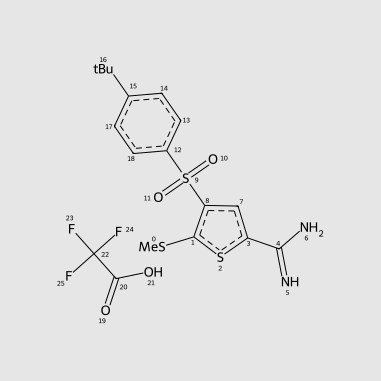 CSc1sc(C(=N)N)cc1S(=O)(=O)c1ccc(C(C)(C)C)cc1.O=C(O)C(F)(F)F